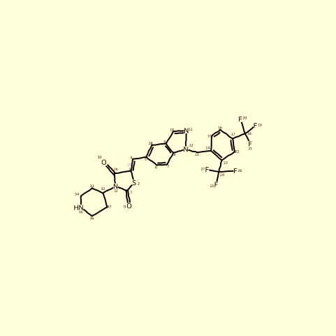 O=C1S/C(=C\c2ccc3c(cnn3Cc3ccc(C(F)(F)F)cc3C(F)(F)F)c2)C(=O)N1C1CCNCC1